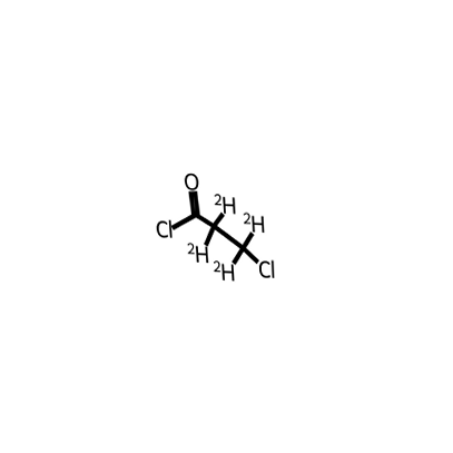 [2H]C([2H])(Cl)C([2H])([2H])C(=O)Cl